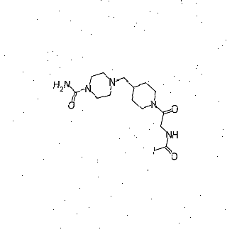 NC(=O)N1CCN(CC2CCN(C(=O)CNC(=O)I)CC2)CC1